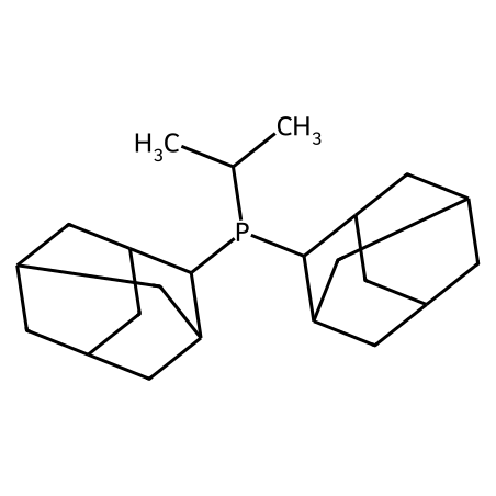 CC(C)P(C1C2CC3CC(C2)CC1C3)C1C2CC3CC(C2)CC1C3